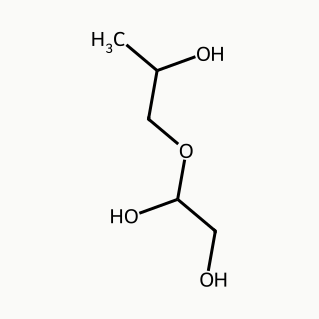 CC(O)COC(O)CO